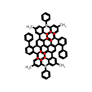 Cc1ccc2c(c1)N(c1ccccc1)c1cc(C)cc3c1B2c1cc2c(-c4c(-c5ccccc5)cccc4-c4ccccc4)cc4c5c(cc6c(-c7c(-c8ccccc8)cccc7-c7ccccc7)cc-3c1c6c25)B1c2ccc(C)cc2N(c2ccccc2)c2cc(C)cc-4c21